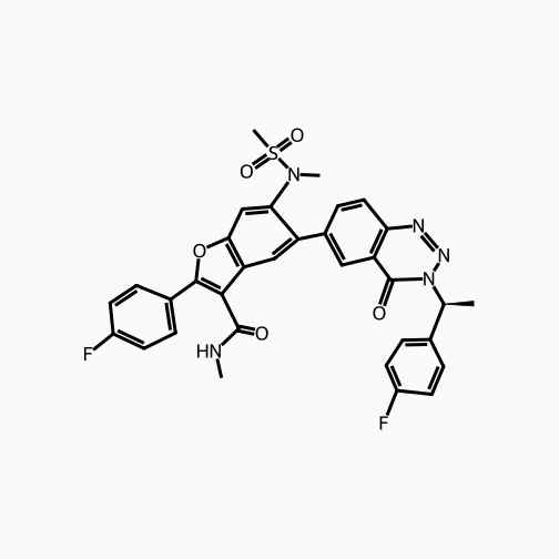 CNC(=O)c1c(-c2ccc(F)cc2)oc2cc(N(C)S(C)(=O)=O)c(-c3ccc4nnn([C@@H](C)c5ccc(F)cc5)c(=O)c4c3)cc12